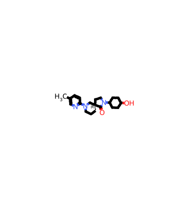 Cc1ccc(N2CCC[C@@]3(CCN(C4CCC(O)CC4)C3=O)C2)nc1